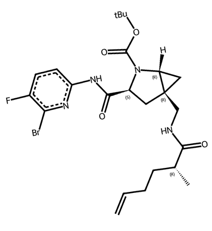 C=CCC[C@@H](C)C(=O)NC[C@@]12C[C@@H](C(=O)Nc3ccc(F)c(Br)n3)N(C(=O)OC(C)(C)C)[C@@H]1C2